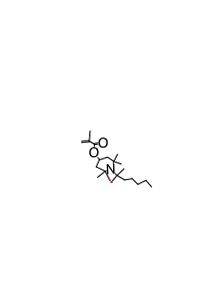 C=C(C)C(=O)OC1CC(C)(C)N(C(C)(C)CCCCC)C(C)(C)C1